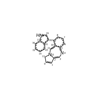 C1=CC2=CN=c3ccccc3=CN2C1.c1ccc2[nH]ccc2c1